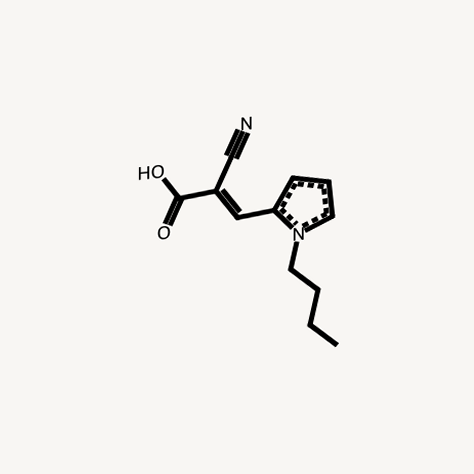 CCCCn1cccc1/C=C(\C#N)C(=O)O